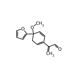 C=C(C=O)C1=CCC(OC)(c2ccco2)C=C1